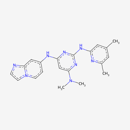 Cc1cc(C)nc(Nc2nc(Nc3ccn4ccnc4c3)cc(N(C)C)n2)c1